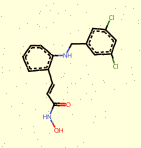 O=C(C=Cc1ccccc1NCc1cc(Cl)cc(Cl)c1)NO